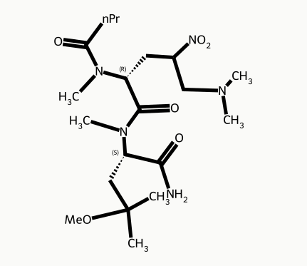 CCCC(=O)N(C)[C@H](CC(CN(C)C)[N+](=O)[O-])C(=O)N(C)[C@@H](CC(C)(C)OC)C(N)=O